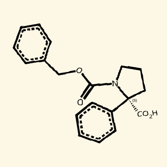 O=C(OCc1ccccc1)N1CCC[C@@]1(C(=O)O)c1ccccc1